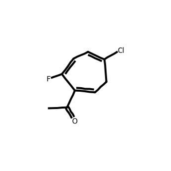 CC(=O)C1=CCC(Cl)=CC=C1F